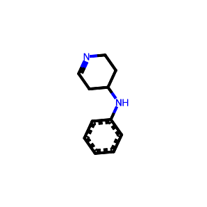 C1=NCCC(Nc2ccccc2)C1